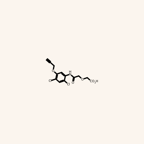 C#CCOc1cc(NC(=O)COCC(=O)O)c(Cl)cc1Cl